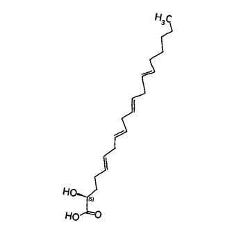 CCCCCC=CCC=CCC=CCC=CCC[C@H](O)C(=O)O